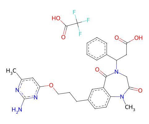 Cc1cc(OCCCc2ccc3c(c2)C(=O)N(C(CC(=O)O)c2ccccc2)CC(=O)N3C)nc(N)n1.O=C(O)C(F)(F)F